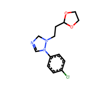 Clc1ccc(N2C=NCN2CCC2OCCO2)cc1